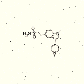 CN1CC=C(c2cn(C)c3ccc(CCS(N)(=O)=O)cc23)CC1